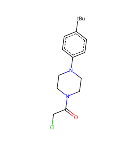 CC(C)(C)c1ccc(N2CCN(C(=O)CCl)CC2)cc1